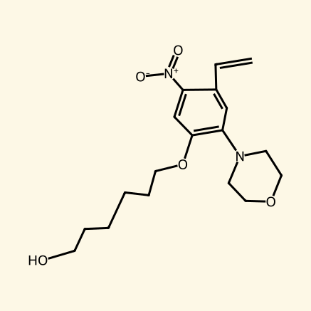 C=Cc1cc(N2CCOCC2)c(OCCCCCCO)cc1[N+](=O)[O-]